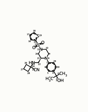 CC(C)(O)c1ccc(N2CCN(S(=O)(=O)c3cccs3)C[C@@H]2CNC2(C#N)CCC2)cc1